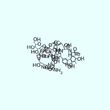 CC(=O)NC1C(=O)NC(CC(N)=O)C(=O)NC2C(=O)NC3C(=O)NC(C(=O)NC([C](=O)[Rb])c4cc(O)c(C)c(O)c4-c4cc3ccc4O)C(O)c3ccc(c(Cl)c3)Oc3cc2cc(c3OC2OC(CO)C(O)C(O)C2OC2CC(C)([NH][RaH])C(O)C(C)O2)Oc2ccc(cc2Cl)C1O